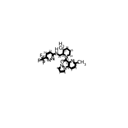 Cc1ccc(-n2cccn2)c(C(=O)N2CCC[C@@H](C)C2CNc2ccc(C(F)(F)F)nn2)n1